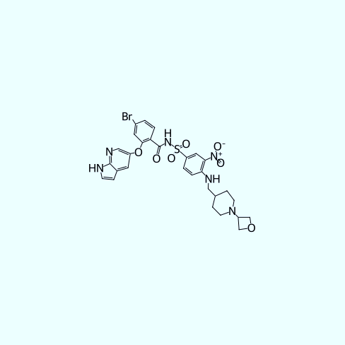 O=C(NS(=O)(=O)c1ccc(NCC2CCN(C3COC3)CC2)c([N+](=O)[O-])c1)c1ccc(Br)cc1Oc1cnc2[nH]ccc2c1